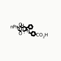 CCCN1CC(=O)N2[C@H](Cc3c(n(Cc4ccc(C(=O)O)cc4)c4ccccc34)[C@@H]2C)C1=O